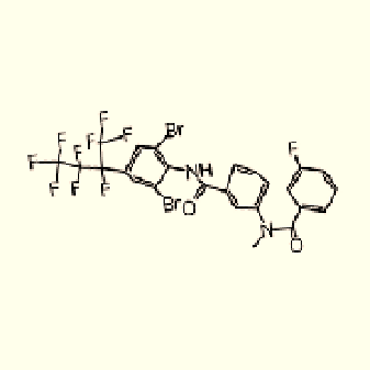 CN(C(=O)c1cccc(F)c1)c1cccc(C(=O)Nc2c(Br)cc(C(F)(C(F)(F)F)C(F)(F)C(F)(F)F)cc2Br)c1